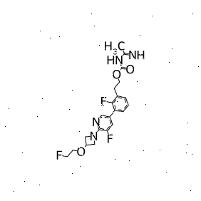 CC(=N)NC(=O)OCCc1cccc(-c2cnc(N3CC(OCCF)C3)c(F)c2)c1F